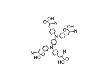 N#C/C(=C/c1ccc(N(c2ccc(/C=C(\C#N)C(=O)O)cc2)c2ccc(N(c3ccc(/C=C(/C#N)C(=O)O)cc3)c3ccc(/C=C(\C#N)C(=O)O)cc3)cc2)cc1)C(=O)O